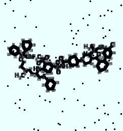 CN(CCO[Si](c1ccccc1)(c1ccccc1)C(C)(C)C)CC[C@H](CSc1ccccc1)Nc1ccc(S(=O)(=O)NC(=O)c2ccc(N3CCC(C(O[Si](C)(C)C(C)(C)C)c4ccccc4-c4ccc(Cl)cc4)CC3)cc2)cc1S(=O)(=O)C(F)(F)F